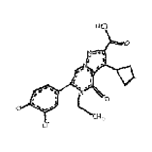 CCn1c(-c2ccc(Cl)c(Cl)c2)cn2nc(C(=O)O)c(C3CCC3)c2c1=O